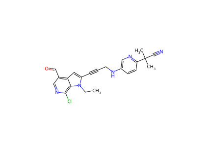 CCn1c(C#CCNc2ccc(C(C)(C)C#N)nc2)cc2c(C=O)cnc(Cl)c21